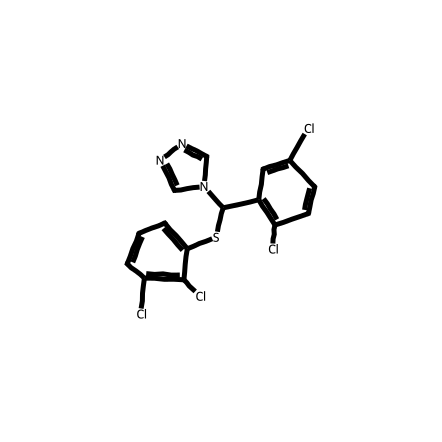 Clc1ccc(Cl)c(C(Sc2cccc(Cl)c2Cl)n2cnnc2)c1